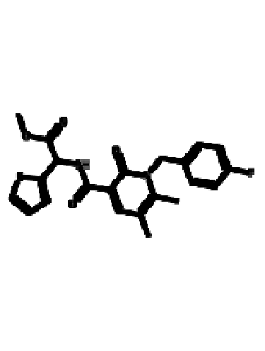 COC(=O)C(NC(=O)c1cc(C)c(C)n(Cc2ccc(F)cc2)c1=O)c1cccs1